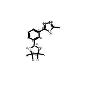 Cc1nnc(-c2cccc(B3OC(C)(C)C(C)(C)O3)c2)o1